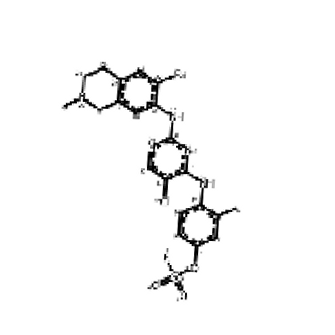 Cc1cc(OS(=O)(=O)F)ccc1Nc1nc(Nc2cc3c(cc2F)CCN(C)C3)ncc1Cl